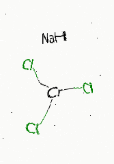 [Cl][Cr]([Cl])[Cl].[NaH]